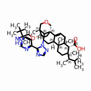 CC(C)[C@@H](C)[C@@]1(C)CC[C@]2(C)[C@H]3CC[C@@H]4[C@@]5(COC[C@@]4(C)[C@@H](OC[C@](C)(N)C(C)(C)C)[C@H](n4ncnc4-c4ccncn4)C5)C3=CC[C@@]2(C)[C@@H]1C(=O)O